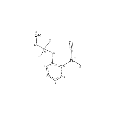 C#CN(C)c1ccccc1CC(C)(C)CO